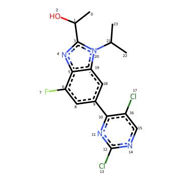 CC(O)c1nc2c(F)cc(-c3nc(Cl)ncc3Cl)cc2n1C(C)C